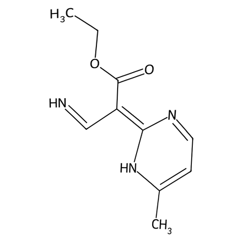 CCOC(=O)/C(C=N)=C1\N=CC=C(C)N1